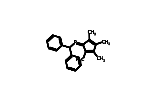 CC1=C(C)C(C)=C(C)C1=PC(c1ccccc1)c1ccccc1